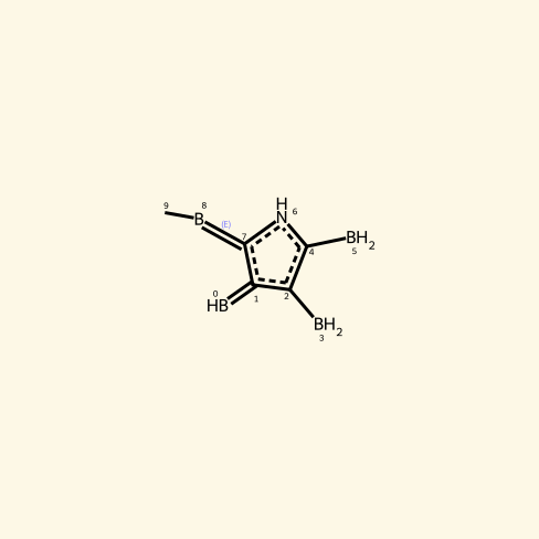 B=c1c(B)c(B)[nH]/c1=B/C